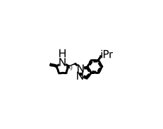 C=C1CC[C@H](Cn2ncc3ccc(C(C)C)cc32)N1